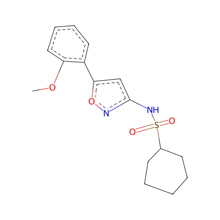 COc1ccccc1-c1cc(NS(=O)(=O)C2CCCCC2)no1